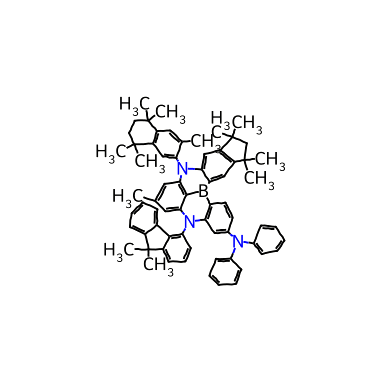 Cc1cc2c3c(c1)N(c1cccc4c1-c1ccccc1C4(C)C)c1cc(N(c4ccccc4)c4ccccc4)ccc1B3c1cc3c(cc1N2c1cc2c(cc1C)C(C)(C)CCC2(C)C)C(C)(C)CC3(C)C